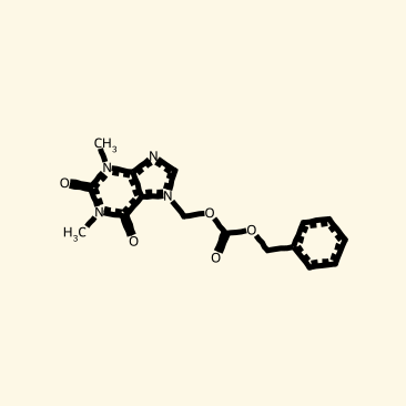 Cn1c(=O)c2c(ncn2COC(=O)OCc2ccccc2)n(C)c1=O